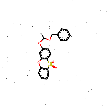 CCC(OCc1ccccc1)Oc1ccc2c(c1)Oc1ccccc1S2(=O)=O